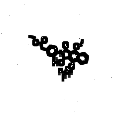 CCOC(=O)Cc1ccc(N2C(=O)c3c(c(OCC(F)(F)F)c4ccccc4c3OCC)C2O)c(F)c1